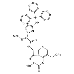 CON=C(C(=O)NC1C(=O)N2C(OC(=O)OC(C)(C)C)=C(COC(C)=O)CSC12)c1csc(NC(c2ccccc2)(c2ccccc2)c2ccccc2)n1